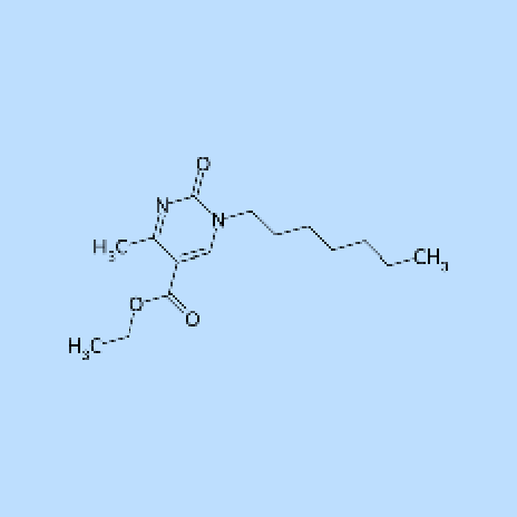 CCCCCCCn1cc(C(=O)OCC)c(C)nc1=O